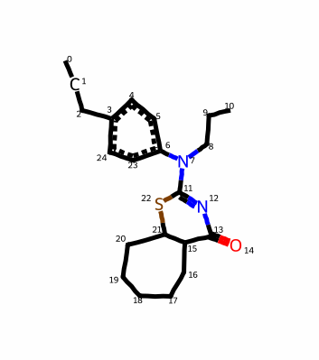 CCCc1ccc(N(CCC)C2=NC(=O)C3CCCCCC3S2)cc1